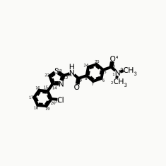 CN(C)C(=O)c1ccc(C(=O)Nc2nc(-c3ccccc3Cl)cs2)cc1